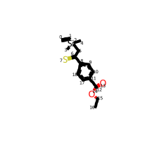 C=C[Si](C)(C)CC(=S)c1ccc(C(=O)OCC)cc1